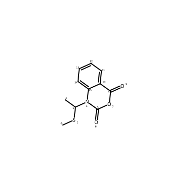 CSC(C)n1c(=O)oc(=O)c2ccccc21